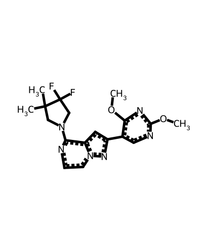 COc1ncc(-c2cc3c(N4CC(C)(C)C(F)(F)C4)nccn3n2)c(OC)n1